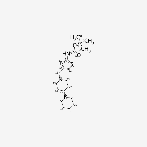 CC(C)(C)OC(=O)Nc1nc(CN2CCC(N3CCCCC3)CC2)cs1